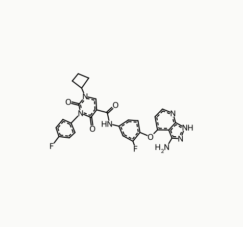 Nc1n[nH]c2nccc(Oc3ccc(NC(=O)c4cn(C5CCC5)c(=O)n(-c5ccc(F)cc5)c4=O)cc3F)c12